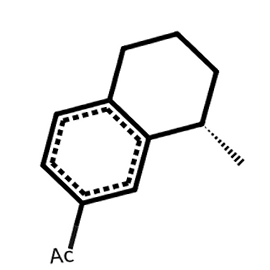 CC(=O)c1ccc2c(c1)[C@@H](C)CCC2